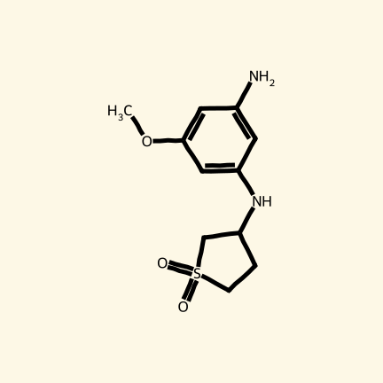 COc1cc(N)cc(NC2CCS(=O)(=O)C2)c1